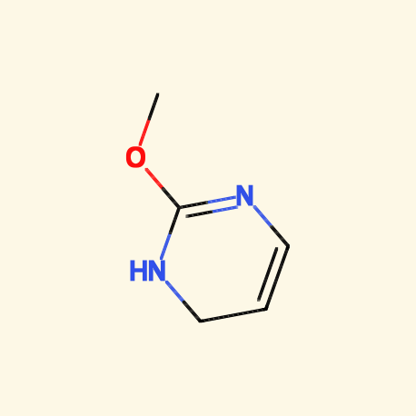 COC1=NC=CCN1